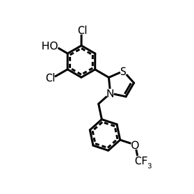 Oc1c(Cl)cc(C2SC=CN2Cc2cccc(OC(F)(F)F)c2)cc1Cl